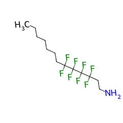 CCCCCCCC(F)(F)C(F)(F)C(F)(F)C(F)(F)CCN